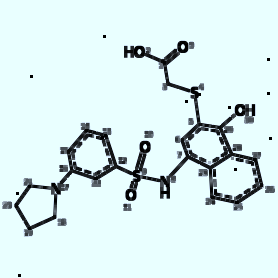 O=C(O)CSc1cc(NS(=O)(=O)c2cccc(N3CCCC3)c2)c2ccccc2c1O